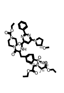 CCOC(=O)[C@H](C)N([C@@H](C)C(=O)OCC)P(N)(=O)c1ccc(CC(NC(=O)c2cc(N3CC[C@H](OC)C3)nc(-c3ccccc3)n2)C(=O)N2CCN(C(=O)OCC)CC2)cc1